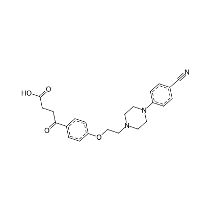 N#Cc1ccc(N2CCN(CCOc3ccc(C(=O)CCC(=O)O)cc3)CC2)cc1